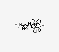 CN(c1cc(N)ncn1)c1cc(Cl)c2n(c1=O)C1(CCCC1)NC2=O